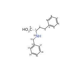 O=C(O)[C@H](CCc1ccccc1)NCc1ccccc1